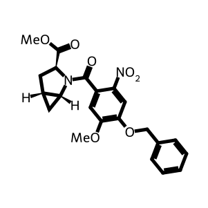 COC(=O)[C@@H]1C[C@H]2C[C@H]2N1C(=O)c1cc(OC)c(OCc2ccccc2)cc1[N+](=O)[O-]